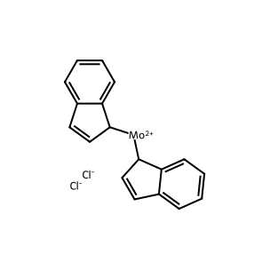 C1=C[CH]([Mo+2][CH]2C=Cc3ccccc32)c2ccccc21.[Cl-].[Cl-]